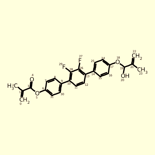 C=C(C)C(=O)Oc1ccc(-c2ccc(-c3ccc(OC(O)C(=C)C)cc3)c(F)c2F)cc1